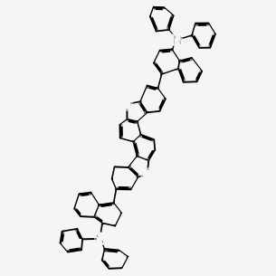 C1=CC(N(C2=c3ccccc3=C(C3=Cc4oc5ccc6c(ccc7oc8cc(-c9ccc(N(c%10ccccc%10)c%10ccccc%10)c%10ccccc9%10)ccc8c76)c5c4CC3)CC2)c2ccccc2)=CCC1